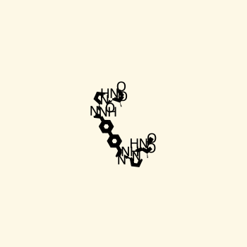 C[C@H]1OC(=O)NC1CN1CCC[C@H]1c1ncc(-c2ccc(-c3ccc(-c4cnc([C@@H]5CCCN5C(=O)[C@@H]5NC(=O)O[C@@H]5C)[nH]4)cc3)cc2)[nH]1